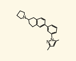 Cc1cc(C)n(-c2cccc(-c3ccc4c(c3)CCC(N3CCCC3)C4)c2)n1